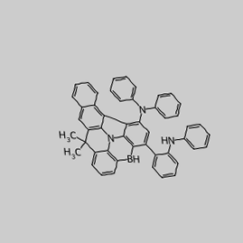 CC1(C)c2cccc3c2-n2c4c(c(-c5ccccc5Nc5ccccc5)cc(N(c5ccccc5)c5ccccc5)c4c4c5ccccc5cc1c42)B3